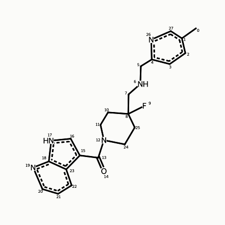 Cc1ccc(CNCC2(F)CCN(C(=O)c3c[nH]c4ncccc34)CC2)nc1